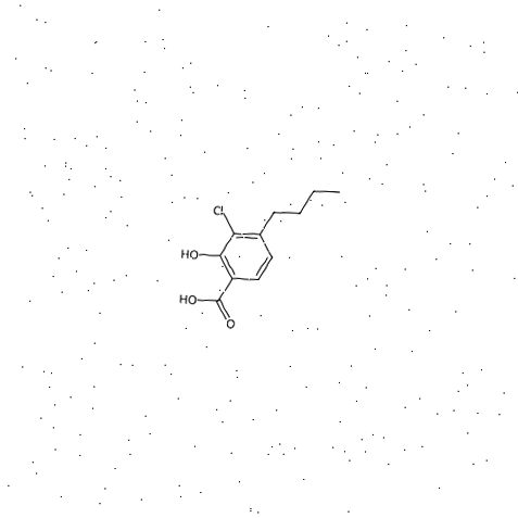 CCCCc1ccc(C(=O)O)c(O)c1Cl